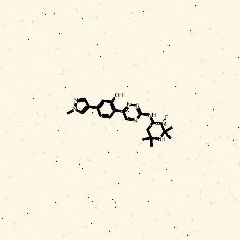 Cn1cc(-c2ccc(-c3cnc(NC4CC(C)(C)NC(C)(C)[C@H]4F)nn3)c(O)c2)cn1